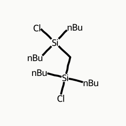 CCCC[Si](Cl)(CCCC)C[Si](Cl)(CCCC)CCCC